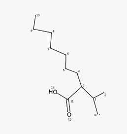 [CH2]C(C)C(CCCCCCC)C(=O)O